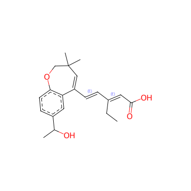 CCC(/C=C/C1=CC(C)(C)COc2ccc(C(C)O)cc21)=C\C(=O)O